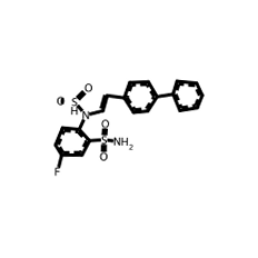 NS(=O)(=O)c1cc(F)ccc1N(C=Cc1ccc(-c2ccccc2)cc1)[SH](=O)=O